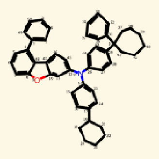 c1ccc(-c2cccc3oc4cc(N(c5ccc(C6CCCCC6)cc5)c5ccc(C6(c7ccccc7)CCCCCC6)cc5)ccc4c23)cc1